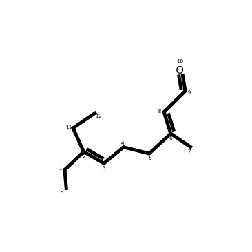 CCC(=CCCC(C)=CC=O)CC